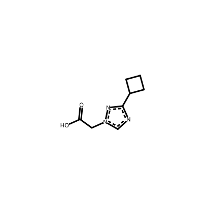 O=C(O)Cn1cnc(C2CCC2)n1